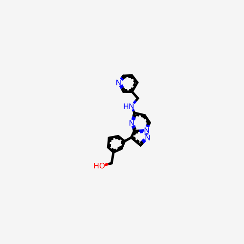 OCc1cccc(-c2cnn3ccc(NCc4cccnc4)nc23)c1